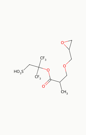 CC(COCC1CO1)C(=O)OC(CS(=O)(=O)O)(C(F)(F)F)C(F)(F)F